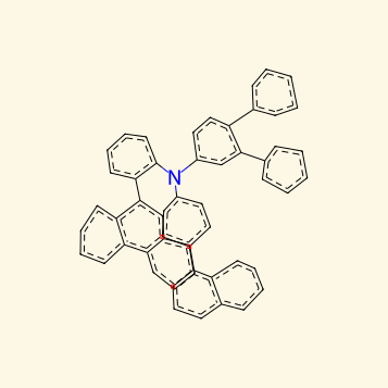 c1ccc(-c2ccc(N(c3ccc(-c4cccc5ccccc45)cc3)c3ccccc3-c3cc4ccccc4c4ccccc34)cc2-c2ccccc2)cc1